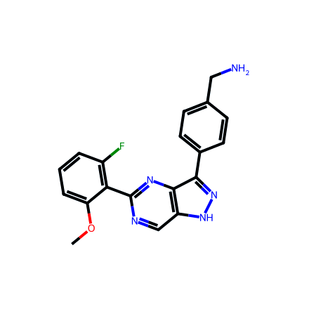 COc1cccc(F)c1-c1ncc2[nH]nc(-c3ccc(CN)cc3)c2n1